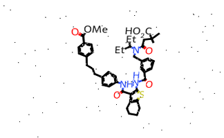 CCC(CC)N(Cc1cccc(C(=O)Nc2sc3c(c2C(=O)Nc2ccc(CCCc4ccc(C(=O)OC)cc4)cc2)CCCC3)c1)C(=O)CC(C)(C)C(=O)O